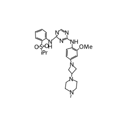 COc1cc(N2CC(N3CCN(C)CC3)C2)ccc1Nc1ncnc(Nc2ccccc2S(=O)(=O)C(C)C)n1